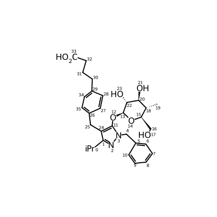 CC(C)c1nn(Cc2ccccc2)c(O[C@@H]2O[C@H](CO)[C@@H](C)[C@H](O)[C@H]2O)c1Cc1ccc(CCCC(=O)O)cc1